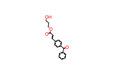 O=C(C=Cc1ccc(C(=O)c2ccccc2)cc1)OCCCO